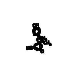 CC(C)[C@]1(CCc2ccc(O)cc2)CC(O)=CC(=O)O1